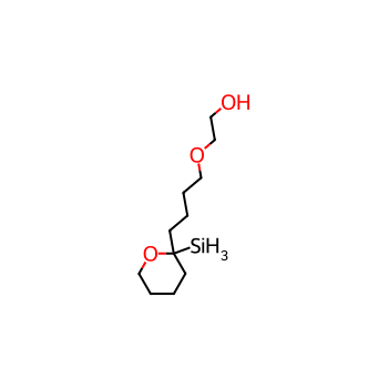 OCCOCCCCC1([SiH3])CCCCO1